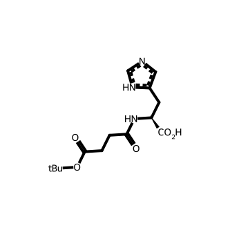 CC(C)(C)OC(=O)CCC(=O)N[C@@H](Cc1cnc[nH]1)C(=O)O